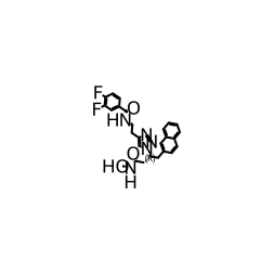 O=C(C[C@@H](Cc1ccc2ccccc2c1)n1cc(CCNC(=O)c2ccc(F)c(F)c2)nn1)NO